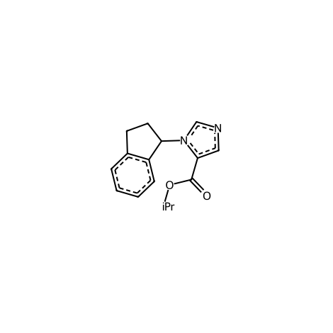 CC(C)OC(=O)c1cncn1C1CCc2ccccc21